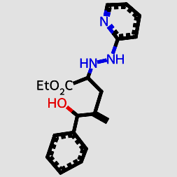 C=C(CC(NNc1ccccn1)C(=O)OCC)C(O)c1ccccc1